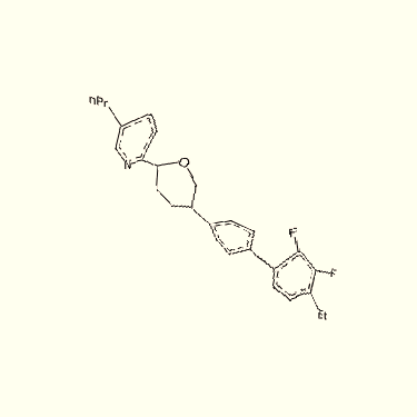 CCCc1ccc(C2CCC(c3ccc(-c4ccc(CC)c(F)c4F)cc3)CO2)nc1